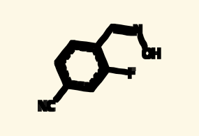 N#Cc1ccc(/C=N\O)c(F)c1